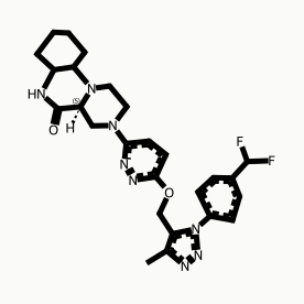 Cc1nnn(-c2ccc(C(F)F)cc2)c1COc1ccc(N2CCN3C4CCCCC4NC(=O)[C@@H]3C2)nn1